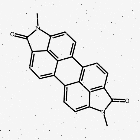 CN1C(=O)c2ccc3c4ccc5c6c(ccc(c7ccc1c2c37)c64)C(=O)N5C